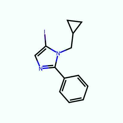 Ic1cnc(-c2ccccc2)n1CC1CC1